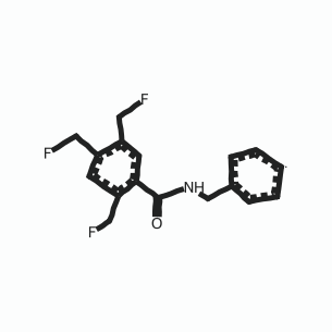 O=C(NCc1cc[c]cc1)c1cc(CF)c(CF)cc1CF